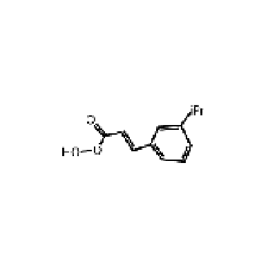 CC(C)c1cccc(C=CC(=O)OO)c1